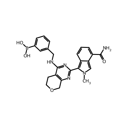 Cn1cc2c(C(N)=O)cccc2c1-c1nc2c(c(NCc3cccc(B(O)O)c3)n1)CCOC2